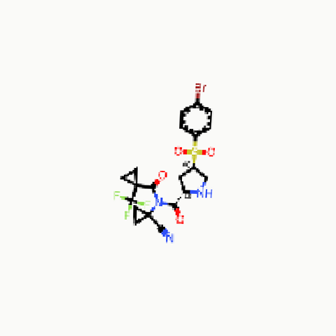 N#CC1(N(C(=O)[C@@H]2C[C@@H](S(=O)(=O)c3ccc(Br)cc3)CN2)C(=O)C2(C(F)(F)F)CC2)CC1